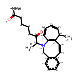 CNC(=O)CCCCC(=O)C(C)N1Cc2ccccc2/C=C\C2=C1C=CC=CC2C